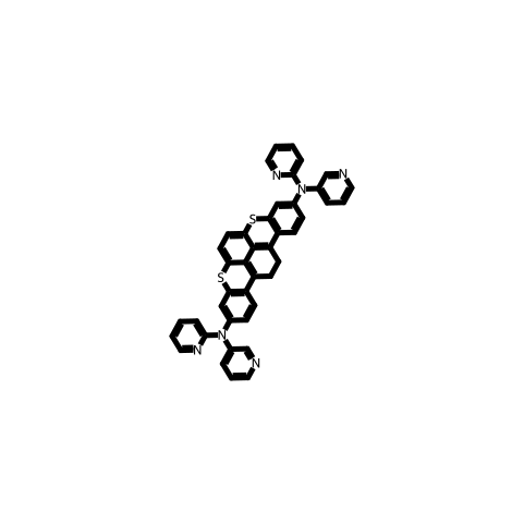 c1ccc(N(c2cccnc2)c2ccc3c(c2)Sc2ccc4c5c2=C3CCC=5c2ccc(N(c3cccnc3)c3ccccn3)cc2S4)nc1